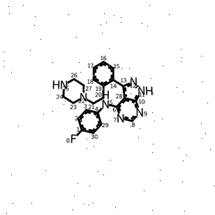 Fc1ccc(Nc2ncnc3[nH]nc(-c4ccccc4CCN4CCNCC4)c23)cc1